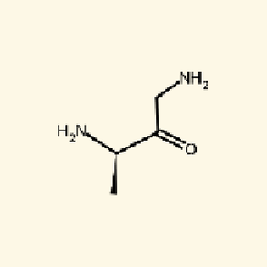 C[C@@H](N)C(=O)CN